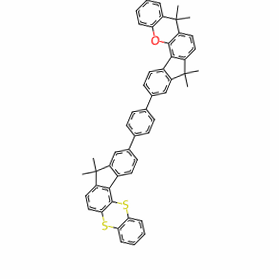 CC1(C)c2ccccc2Oc2c1ccc1c2-c2ccc(-c3ccc(-c4ccc5c(c4)C(C)(C)c4ccc6c(c4-5)Sc4ccccc4S6)cc3)cc2C1(C)C